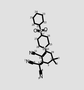 CC1(C)CC(=C(C#N)C#N)C(C#N)=C(N2CCC(S(=O)(=O)C3CCCCC3)CC2)C1